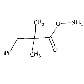 CC(C)CC(C)(C)C(=O)ON